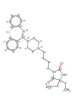 CCC1(CC)NC(=O)N(CCCCN2CCN(C3=Nc4ccccc4Sc4ccccc43)CC2)C1=O